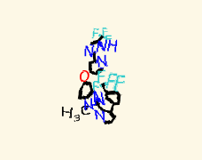 Cn1c(-c2ncccc2-c2ccc(F)c(C(F)(F)F)c2)nc2cc(Oc3ccnc(-c4ncc(C(F)(F)F)[nH]4)c3)ccc21